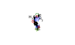 C=C(Cl)CONC(C)CNC(=O)c1ccc(-c2noc(C(F)(F)F)n2)cc1